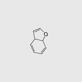 C1=CC2C=COC2C=C1